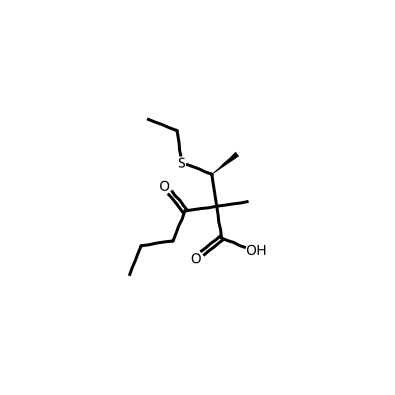 CCCC(=O)C(C)(C(=O)O)[C@H](C)SCC